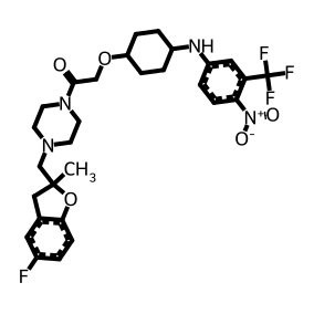 CC1(CN2CCN(C(=O)COC3CCC(Nc4ccc([N+](=O)[O-])c(C(F)(F)F)c4)CC3)CC2)Cc2cc(F)ccc2O1